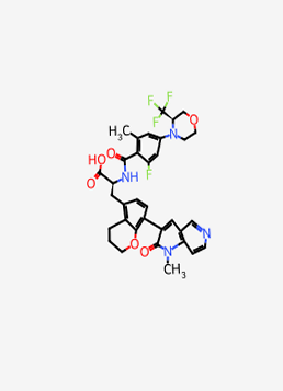 Cc1cc(N2CCOC[C@@H]2C(F)(F)F)cc(F)c1C(=O)N[C@@H](Cc1ccc(-c2cc3cnccc3n(C)c2=O)c2c1CCCO2)C(=O)O